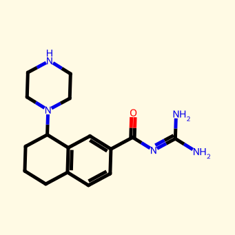 NC(N)=NC(=O)c1ccc2c(c1)C(N1CCNCC1)CCC2